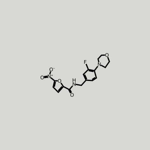 O=C(NCc1ccc(N2CCOCC2)c(F)c1)c1ccc([N+](=O)[O-])o1